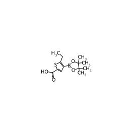 CCc1sc(C(=O)O)cc1B1OC(C)(C)C(C)(C)O1